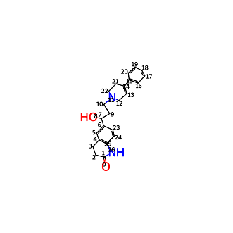 O=C1CCc2cc(C(O)CCN3CC=C(c4ccccc4)CC3)ccc2N1